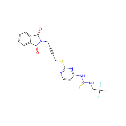 O=C1c2ccccc2C(=O)N1CC#CCSc1nccc(NC(=S)NCC(F)(F)F)n1